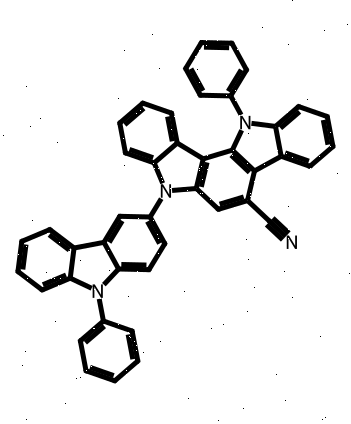 N#Cc1cc2c(c3ccccc3n2-c2ccc3c(c2)c2ccccc2n3-c2ccccc2)c2c1c1ccccc1n2-c1ccccc1